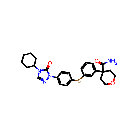 NC(=O)C1(c2cccc(Sc3ccc(-n4ncn(C5CCCCC5)c4=O)cc3)c2)CCOCC1